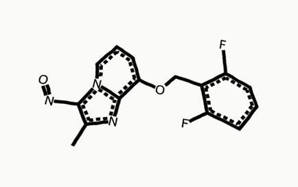 Cc1nc2c(OCc3c(F)cccc3F)cccn2c1N=O